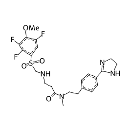 COc1c(F)cc(S(=O)(=O)CNCCC(=O)N(C)CCc2ccc(C3=NCCN3)cc2)c(F)c1F